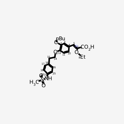 CCCCOc1cc(/C=C(\OCC)C(=O)O)ccc1OCCc1ccc(NS(C)(=O)=O)cc1